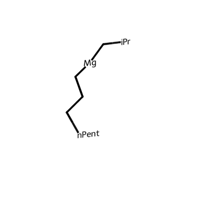 CCCCCCC[CH2][Mg][CH2]C(C)C